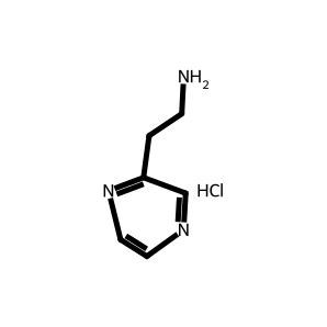 Cl.NCCc1cnccn1